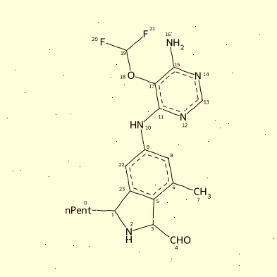 CCCCCC1NC(C=O)c2c(C)cc(Nc3ncnc(N)c3OC(F)F)cc21